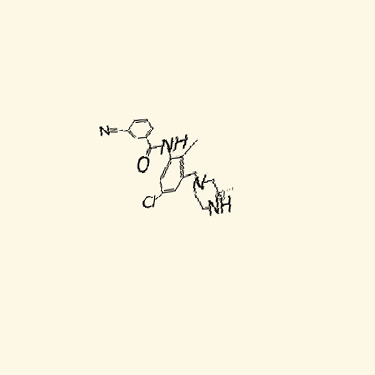 Cc1c(CN2CCN[C@@H](C)C2)cc(Cl)cc1NC(=O)c1cccc(C#N)c1